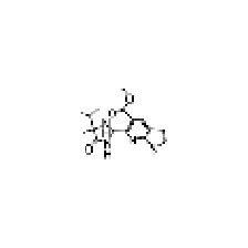 COC(=O)c1cc2ccsc2nc1C1NC(=O)C(C)(C(C)C)N1